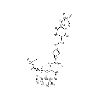 COC1C(OC(=O)N2CC(CCC3CCN(CC(C)(F)F)CC3)C2)CCC2(CO2)C1[C@@]1(C)O[C@@H]1CC=C(C)C